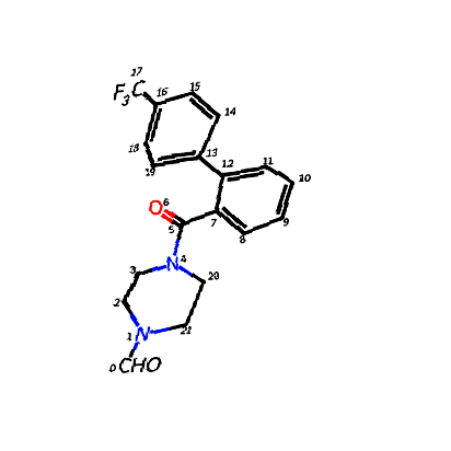 O=CN1CCN(C(=O)c2ccccc2-c2ccc(C(F)(F)F)cc2)CC1